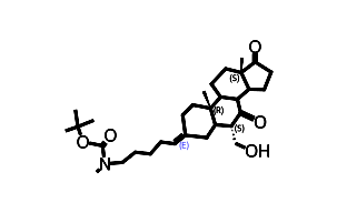 CN(CCCC/C=C1\CC[C@]2(C)C3CC[C@]4(C)C(=O)CCC4C3C(=O)[C@H](CO)C2C1)C(=O)OC(C)(C)C